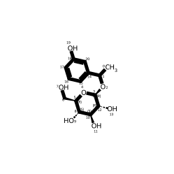 CC(O[C@@H]1O[C@H](CO)[C@@H](O)[C@H](O)[C@H]1O)c1cccc(O)c1